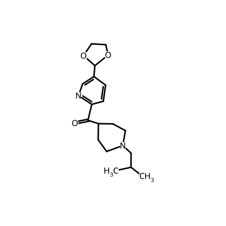 CC(C)CN1CCC(C(=O)c2ccc(C3OCCO3)cn2)CC1